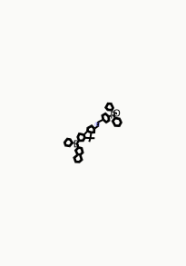 CC1(C)c2cc(/C=C/c3ccc(P(=O)(c4ccccc4)c4ccccc4)cc3)ccc2-c2ccc(B(c3ccccc3)c3ccc4ccccc4c3)cc21